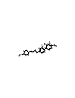 CCCC1CCC(/C=C/CCc2ccc(-c3ccc(OCC)c(F)c3F)c(F)c2)CC1